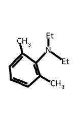 CCN(CC)c1c(C)cccc1C